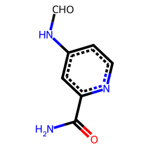 NC(=O)c1cc(NC=O)ccn1